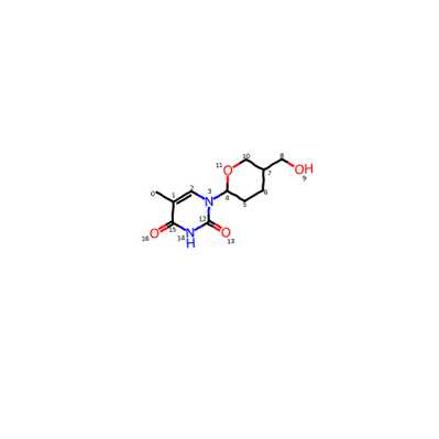 Cc1cn(C2CCC(CO)CO2)c(=O)[nH]c1=O